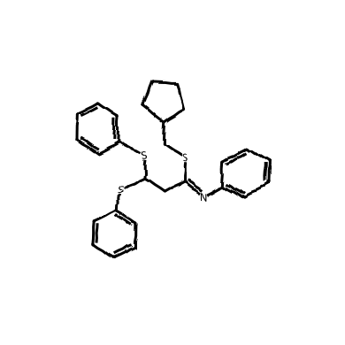 c1ccc(N=C(CC(Sc2ccccc2)Sc2ccccc2)SCC2CCCC2)cc1